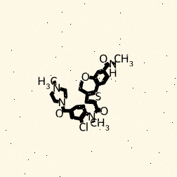 CNC(=O)c1ccc2c(c1)OCCc1cc(C(=O)N(C)c3ccc(C(=O)N4CCN(C)CC4)cc3Cl)sc1-2